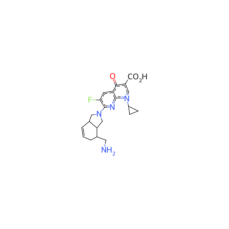 NCC1CC=CC2CN(c3nc4c(cc3F)c(=O)c(C(=O)O)cn4C3CC3)CC21